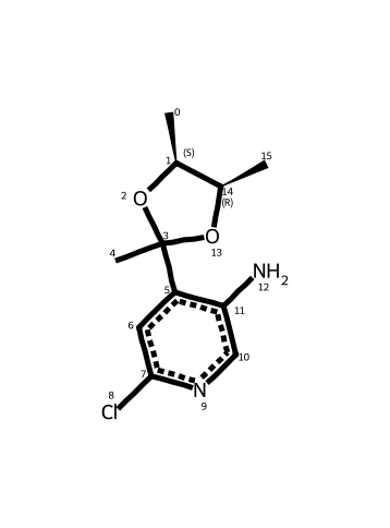 C[C@@H]1OC(C)(c2cc(Cl)ncc2N)O[C@@H]1C